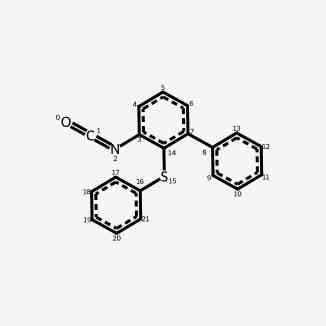 O=C=Nc1cccc(-c2ccccc2)c1Sc1ccccc1